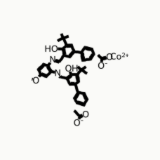 CC(=O)[O-].CC(=O)[O-].COc1ccc(N=Cc2cc(-c3ccccc3)cc(C(C)(C)C)c2O)c(N=Cc2cc(-c3ccccc3)cc(C(C)(C)C)c2O)c1.[Co+2]